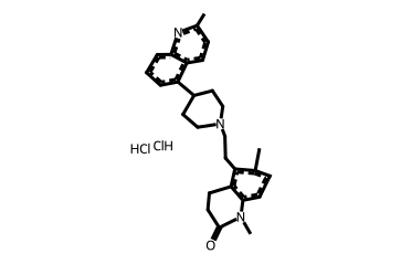 Cc1ccc2c(C3CCN(CCc4c(C)ccc5c4CCC(=O)N5C)CC3)cccc2n1.Cl.Cl